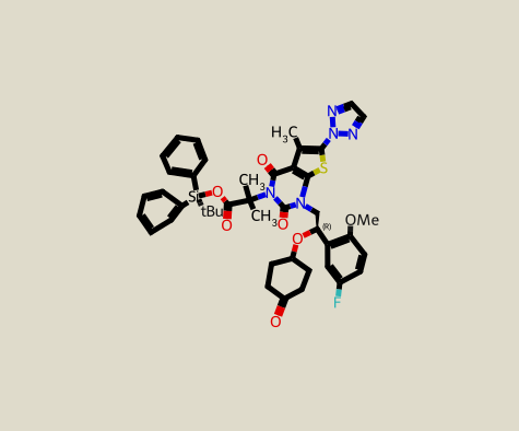 COc1ccc(F)cc1[C@H](Cn1c(=O)n(C(C)(C)C(=O)O[Si](c2ccccc2)(c2ccccc2)C(C)(C)C)c(=O)c2c(C)c(-n3nccn3)sc21)OC1CCC(=O)CC1